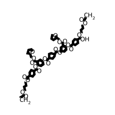 C=CC(=O)OCCCCOC(=O)C1CCC(C(=O)Oc2ccc(OC(=O)C3CCC(C(=O)Oc4ccc(OC(=O)C5CCC(C(O)OCCCCOC(=O)C=C)CC5)c(C(=O)OCC5CCCO5)c4)CC3)cc2C(=O)OCC2CCCO2)CC1